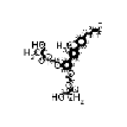 C=C(CO)C(=O)OCCOc1cc(OCCOC(=O)C(C)CO)cc(-c2ccc(C3CCC(CCC=C(F)F)CC3)c(C)c2)c1